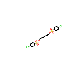 O=S(=O)(OCC#CC#CCOS(=O)(=O)c1ccc(Cl)cc1)c1ccc(Cl)cc1